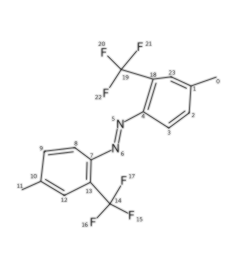 Cc1ccc(N=Nc2ccc(C)cc2C(F)(F)F)c(C(F)(F)F)c1